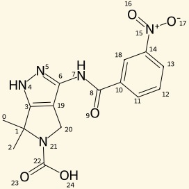 CC1(C)c2[nH]nc(NC(=O)c3cccc([N+](=O)[O-])c3)c2CN1C(=O)O